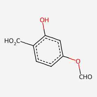 O=COc1ccc(C(=O)O)c(O)c1